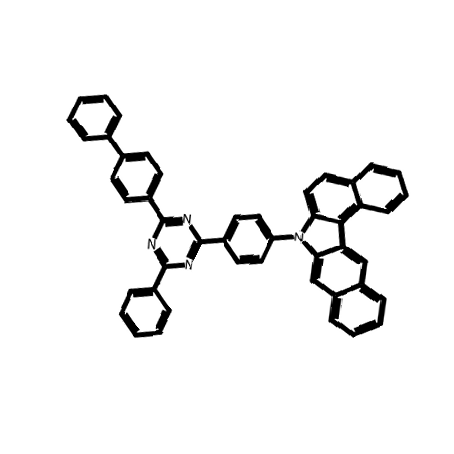 c1ccc(-c2ccc(-c3nc(-c4ccccc4)nc(-c4ccc(-n5c6cc7ccccc7cc6c6c7ccccc7ccc65)cc4)n3)cc2)cc1